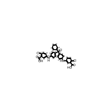 O=C(O)c1cc(Nc2ccc(C(Cl)(c3ccccc3)c3ccc(Nc4ccc(Cl)c(C(=O)O)c4)cc3)cc2)ccc1Cl